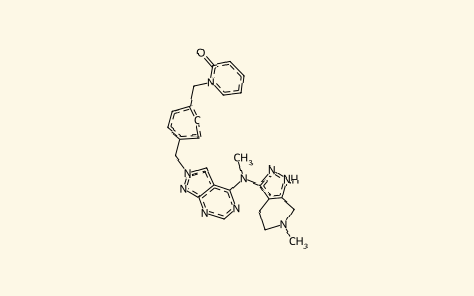 CN1CCc2c(N(C)c3ncnc4nn(Cc5ccc(Cn6ccccc6=O)cc5)cc34)n[nH]c2C1